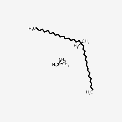 CCCCCCCCCCCCCCCCCCC(C)(C)CCCCCCCCCCCCCCCCCC.CN(C)C